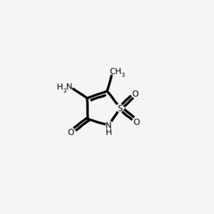 CC1=C(N)C(=O)NS1(=O)=O